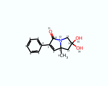 CC12C=C(c3ccccc3)C(=O)N1CC(O)(O)C2